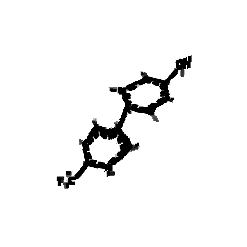 Oc1ccc(-c2ccc(C(F)(F)F)nc2)nc1